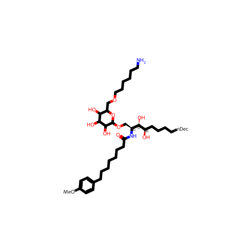 CCCCCCCCCCCCCC[C@@H](O)[C@@H](O)[C@H](COC1OC(COCCCCCCN)C(O)C(O)C1O)NC(=O)CCCCCCCc1ccc(OC)cc1